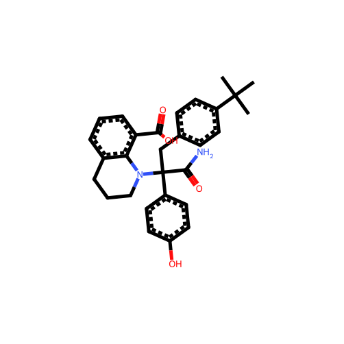 CC(C)(C)c1ccc(CC(C(N)=O)(c2ccc(O)cc2)N2CCCc3cccc(C(=O)O)c32)cc1